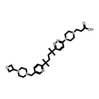 CC(C)(CCC(C)(C)c1ccc(N2CCN(CCC(=O)O)CC2)nn1)c1ccc(CN2CCN(C3COC3)CC2)cn1